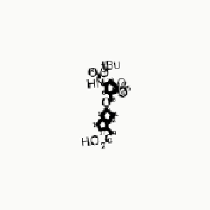 CC(C)(C)OC(=O)Nc1cc(COc2ccc3c(c2)CCC3CC(=O)O)c2c(c1)OCO2